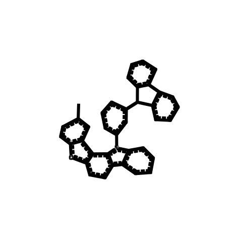 Cc1ccc2oc3ccc4c5ccccc5n(-c5cccc(C6c7ccccc7-c7ccccc76)c5)c4c3c2c1